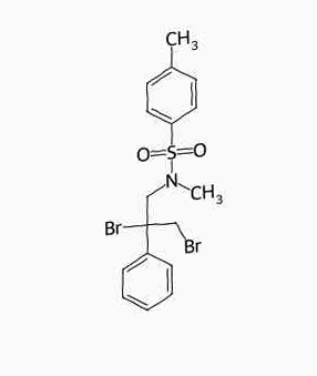 Cc1ccc(S(=O)(=O)N(C)CC(Br)(CBr)c2ccccc2)cc1